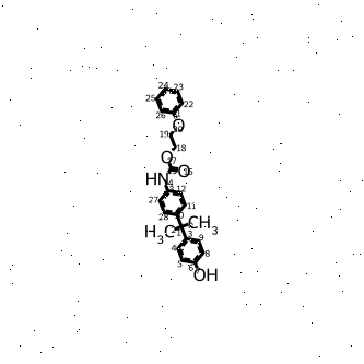 CC(C)(c1ccc(O)cc1)c1ccc(NC(=O)OCCOc2ccccc2)cc1